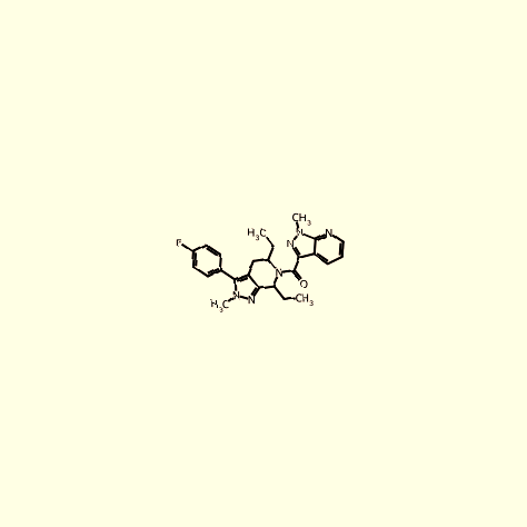 CCC1Cc2c(nn(C)c2-c2ccc(F)cc2)C(CC)N1C(=O)c1nn(C)c2ncccc12